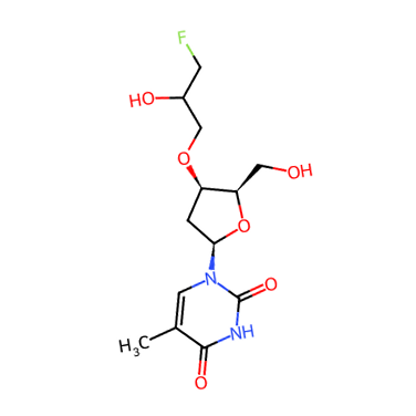 Cc1cn([C@H]2C[C@@H](OCC(O)CF)[C@@H](CO)O2)c(=O)[nH]c1=O